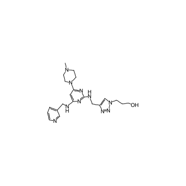 CN1CCN(c2cc(NCc3cccnc3)nc(NCc3cn(CCCO)nn3)n2)CC1